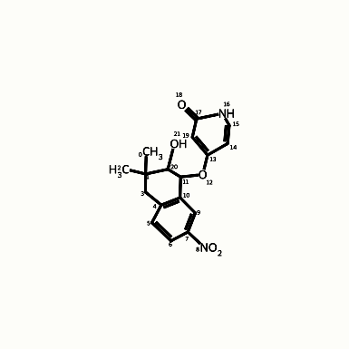 CC1(C)Cc2ccc([N+](=O)[O-])cc2C(Oc2cc[nH]c(=O)c2)C1O